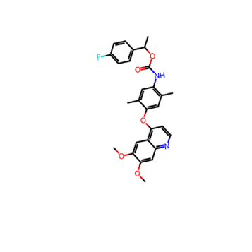 COc1cc2nccc(Oc3cc(C)c(NC(=O)OC(C)c4ccc(F)cc4)cc3C)c2cc1OC